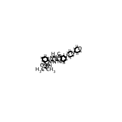 COc1cc(N2CCN(C3CCOCC3)CC2)ccc1Nc1ncnc(Nc2ccccc2S(=O)(=O)C(C)C)n1